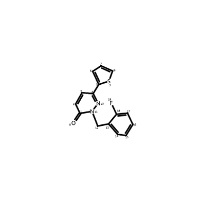 O=c1ccc(-c2cccs2)nn1Cc1ccccc1F